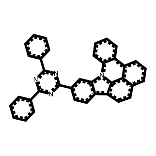 c1ccc(-c2nc(-c3ccccc3)nc(-c3ccc4c5ccc6cccc7c8ccccc8n(c4c3)c5c67)n2)cc1